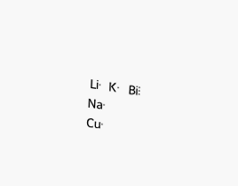 [Bi].[Cu].[K].[Li].[Na]